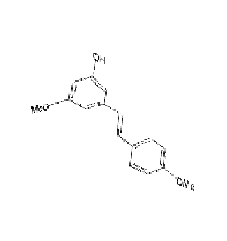 COc1ccc(C=Cc2cc(O)cc(OC)c2)cc1